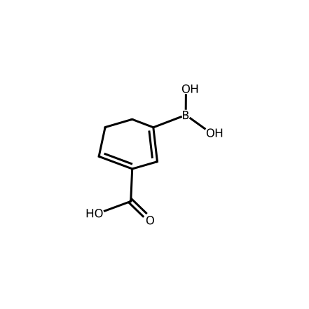 O=C(O)C1=CCCC(B(O)O)=C1